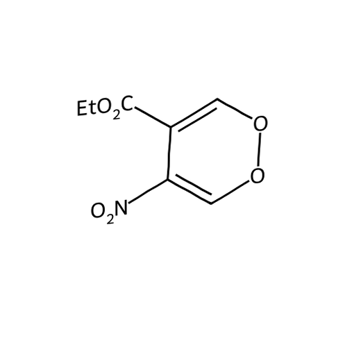 CCOC(=O)C1=COOC=C1[N+](=O)[O-]